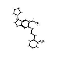 COc1cc2c(cc1OCCN1CCCCC1C)CCC2N1CCCC1